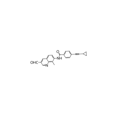 Cc1c(NC(=O)c2ccc(C#CC3CC3)cc2)ccc2cc(C=O)cnc12